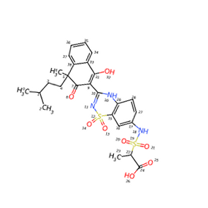 CC(C)CCC1(C)C(=O)C(C2=NS(=O)(=O)c3cc(NS(=O)(=O)C(C)C(=O)O)ccc3N2)=C(O)c2ccccc21